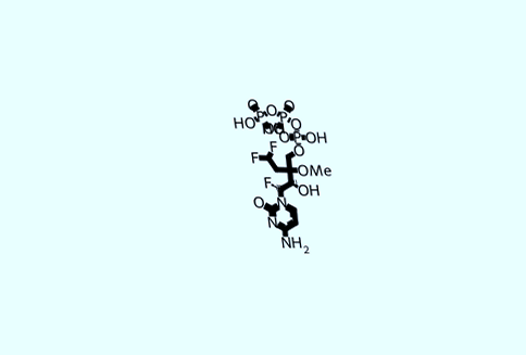 COC(COP(=O)(O)OP(=O)(O)OP(=O)(O)O)(CC(F)F)[C@@H](O)[C@@H](F)n1ccc(N)nc1=O